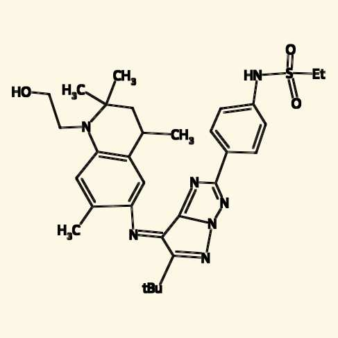 CCS(=O)(=O)Nc1ccc(-c2nc3n(n2)N=C(C(C)(C)C)/C3=N/c2cc3c(cc2C)N(CCO)C(C)(C)CC3C)cc1